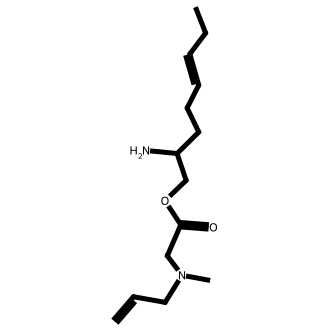 C=CCN(C)CC(=O)OCC(N)CCC=CCC